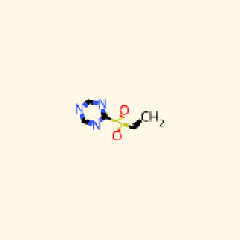 C=CS(=O)(=O)c1ncncn1